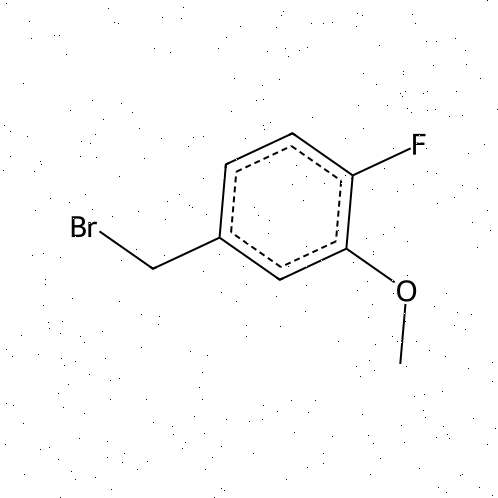 COc1cc(CBr)ccc1F